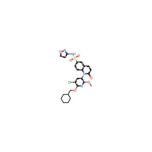 COc1nc(OCC2CCCCC2)c(Cl)cc1-n1c(=O)ccc2cc(S(=O)(=O)Nc3ccon3)ccc21